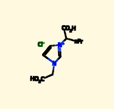 CCCC(C(=O)O)[n+]1ccn(CC(=O)O)c1.[Cl-]